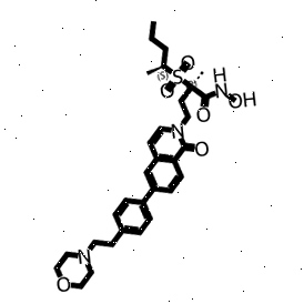 CCC[C@H](C)S(=O)(=O)[C@](C)(CCn1ccc2cc(-c3ccc(CCN4CCOCC4)cc3)ccc2c1=O)C(=O)NO